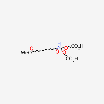 COC(=O)CCCCCCCCCCC(=O)NC(COCCC(=O)O)COCCC(=O)O